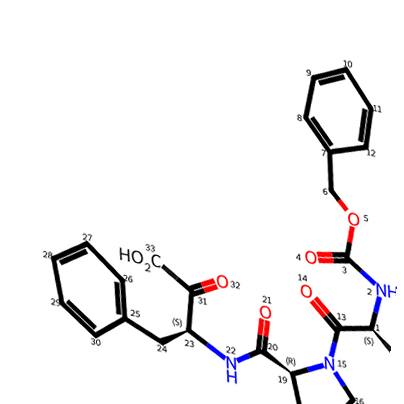 CC(C)(C)[C@H](NC(=O)OCc1ccccc1)C(=O)N1CSC[C@H]1C(=O)N[C@@H](Cc1ccccc1)C(=O)C(=O)O